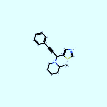 CC1CCCCN1C(C#Cc1ccccc1)c1cncs1